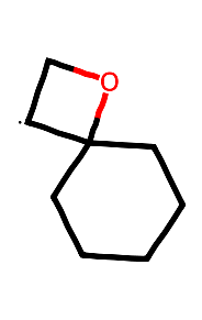 [CH]1COC12CCCCC2